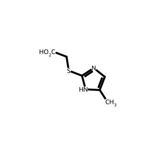 Cc1cnc(SCC(=O)O)[nH]1